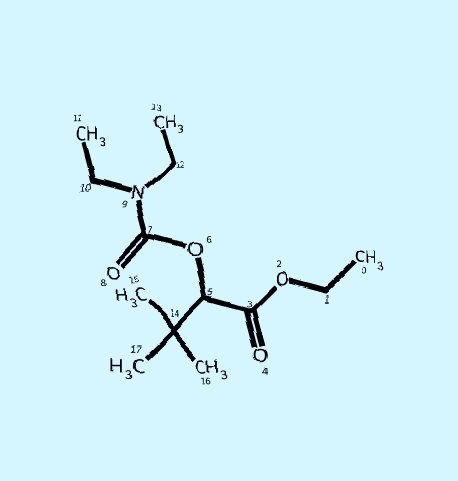 CCOC(=O)C(OC(=O)N(CC)CC)C(C)(C)C